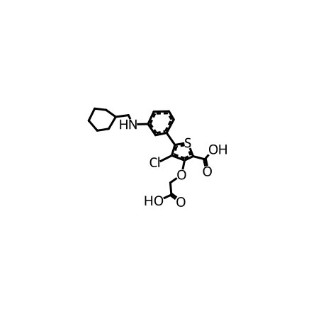 O=C(O)COc1c(C(=O)O)sc(-c2cccc(NCC3CCCCC3)c2)c1Cl